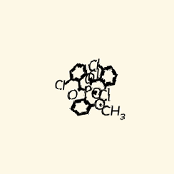 COc1ccccc1P(=O)(C(=O)c1c(Cl)cccc1Cl)C(=O)c1c(Cl)cccc1Cl